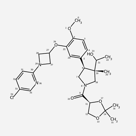 COc1ccc([C@@H]2CN(C(=O)[C@@H]3COC(C)(C)O3)C[C@@]2(C)C(C)O)cc1OC1CN(c2ccc(Cl)cn2)C1